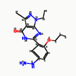 CCCOc1ccc(NN)cc1-c1nc2c(c(C)nn2CC)c(=O)[nH]1